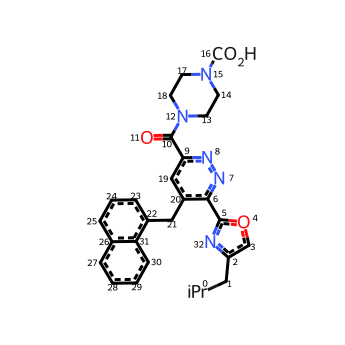 CC(C)Cc1coc(-c2nnc(C(=O)N3CCN(C(=O)O)CC3)cc2Cc2cccc3ccccc23)n1